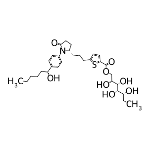 CCCCC[C@H](O)c1ccc(N2C(=O)CC[C@@H]2CCCc2ccc(C(=O)OC[C@H](O)[C@H](O)[C@@H](O)[C@H](O)CC)s2)cc1